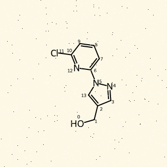 OCc1cnn(-c2cccc(Cl)n2)c1